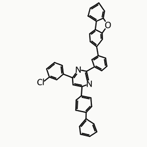 Clc1cccc(-c2cc(-c3ccc(-c4ccccc4)cc3)nc(-c3cccc(-c4ccc5c(c4)oc4ccccc45)c3)n2)c1